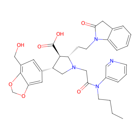 CCCCN(C(=O)CN1C[C@H](c2cc(CO)c3c(c2)OCO3)[C@@H](C(=O)O)[C@@H]1CCN1C(=O)Cc2ccccc21)c1cccnc1